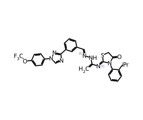 C=C(/N=C1\SCC(=O)N1c1ccccc1C(C)C)N/N=C/c1cccc(-c2ncn(-c3ccc(OC(F)(F)F)cc3)n2)c1